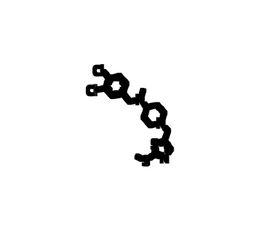 CSc1ncc(CN2CCC(N(C)Cc3ccc(Cl)c(Cl)c3)CC2)s1